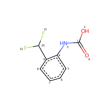 O=C(O)Nc1ccccc1C(F)F